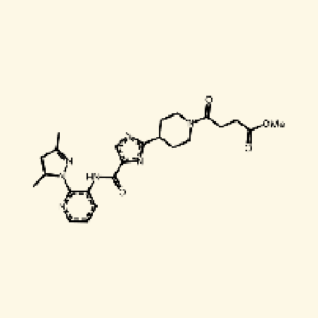 COC(=O)CCC(=O)N1CCC(c2nc(C(=O)Nc3cccnc3N3N=C(C)CC3C)cs2)CC1